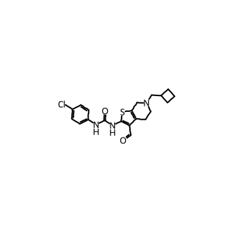 O=Cc1c(NC(=O)Nc2ccc(Cl)cc2)sc2c1CCN(CC1CCC1)C2